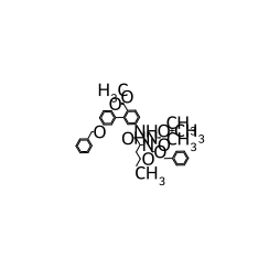 CCCCC(C(=O)Nc1ccc(C(=O)OC)c(-c2cccc(OCc3ccccc3)c2)c1)N(NC(=O)OC(C)(C)C)C(=O)OCc1ccccc1